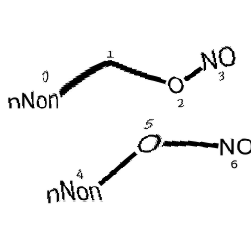 CCCCCCCCCCON=O.CCCCCCCCCON=O